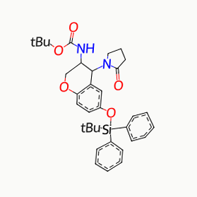 CC(C)(C)OC(=O)NC1COc2ccc(O[Si](c3ccccc3)(c3ccccc3)C(C)(C)C)cc2C1N1CCCC1=O